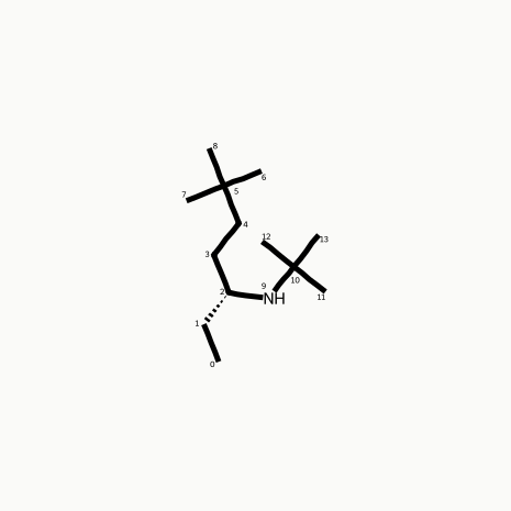 CC[C@H](CCC(C)(C)C)NC(C)(C)C